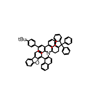 CC(C)(C)c1ccc(-c2ccc(N(C3=CC4=C(CC3)C(c3ccccc3)(c3ccccc3)c3ccccc34)c3ccc4ccccc4c3-c3c#ccc4c3oc3ccccc34)c(-c3ccccc3)c2)cc1